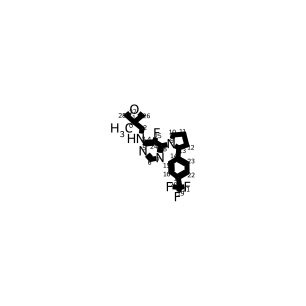 CC1(CNc2ncnc(N3CCCC3c3ccc(C(F)(F)F)cc3)c2F)COC1